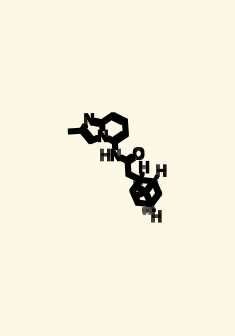 Cc1cn2c(NC(=O)C[C@H]3CC[C@@H]4C[C@H]3C4(C)C)cccc2n1